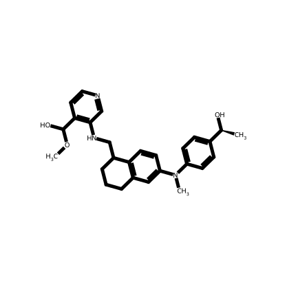 COC(O)c1ccncc1NCC1CCCc2cc(N(C)c3ccc([C@H](C)O)cc3)ccc21